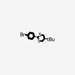 CC(C)(C)[C@H]1CS[C@@H](c2ccc(Br)cc2)SC1